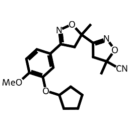 COc1ccc(C2=NOC(C)(C3=NOC(C)(C#N)C3)C2)cc1OC1CCCC1